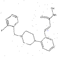 O=C(/C=C/c1ccccc1N1CCN(Cc2ccccc2F)CC1)NO